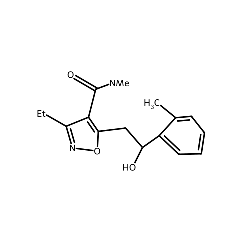 CCc1noc(CC(O)c2ccccc2C)c1C(=O)NC